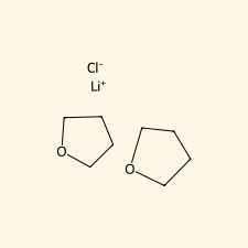 C1CCOC1.C1CCOC1.[Cl-].[Li+]